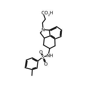 Cc1cccc(S(=O)(=O)NC2Cc3cccc4c3C(C2)CN4CCC(=O)O)c1